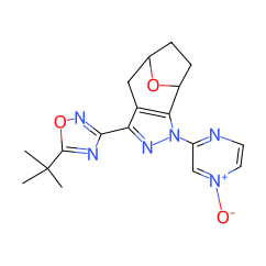 CC(C)(C)c1nc(-c2nn(-c3c[n+]([O-])ccn3)c3c2CC2CCC3O2)no1